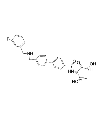 C[C@@H](O)[C@H](NC(=O)c1ccc(-c2ccc(CNCc3cccc(F)c3)cc2)cc1)C(=O)NO